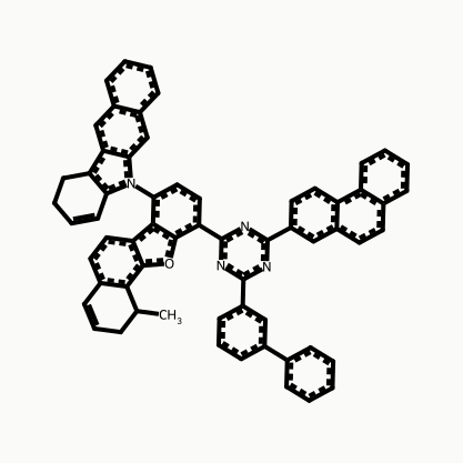 CC1CC=Cc2ccc3c(oc4c(-c5nc(-c6cccc(-c7ccccc7)c6)nc(-c6ccc7c(ccc8ccccc87)c6)n5)ccc(-n5c6c(c7cc8ccccc8cc75)CCC=C6)c43)c21